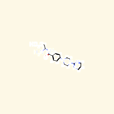 NC(CC(=O)O)NC(=O)c1ccc(N2CCN(c3ncccn3)CC2)cc1